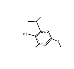 CSc1cc(C)c(N)c(C(C)C)c1